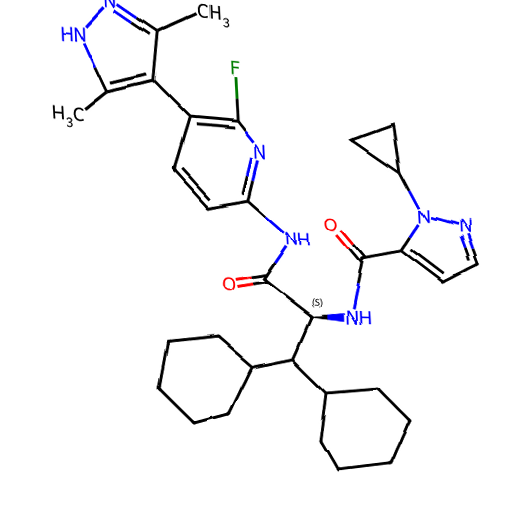 Cc1n[nH]c(C)c1-c1ccc(NC(=O)[C@@H](NC(=O)c2ccnn2C2CC2)C(C2CCCCC2)C2CCCCC2)nc1F